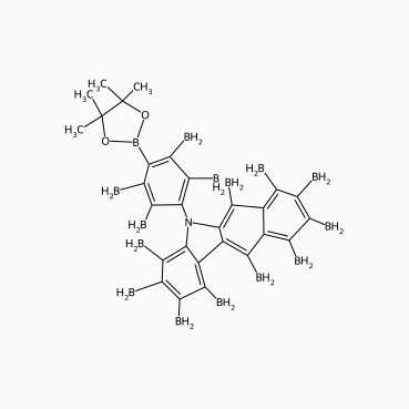 Bc1c(B)c(-n2c3c(B)c(B)c(B)c(B)c3c3c(B)c4c(B)c(B)c(B)c(B)c4c(B)c32)c(B)c(B)c1B1OC(C)(C)C(C)(C)O1